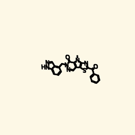 Cn1c2nc(C(=O)c3ccccc3)sc2c2cnn(Cc3cccc4[nH]ncc34)c(=O)c21